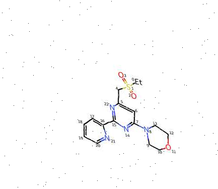 CCS(=O)(=O)Cc1cc(N2CCOCC2)nc(-c2ccccn2)n1